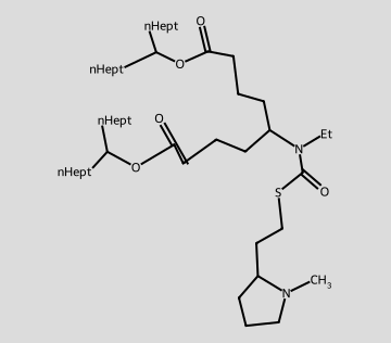 CCCCCCCC(CCCCCCC)OC(=O)CCCC(CCCC(=O)OC(CCCCCCC)CCCCCCC)N(CC)C(=O)SCCC1CCCN1C